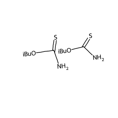 CC(C)COC(N)=S.CC(C)COC(N)=S